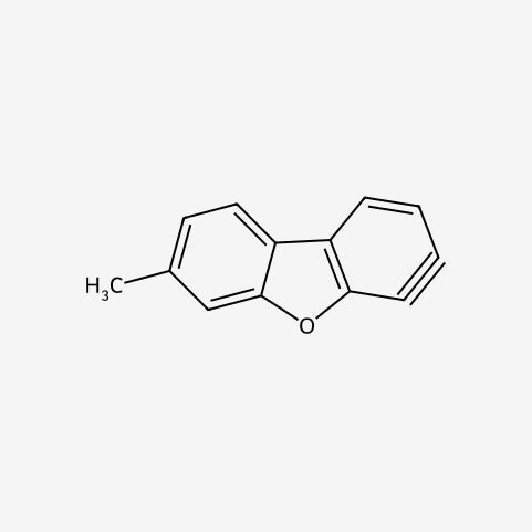 Cc1ccc2c(c1)oc1c#cccc12